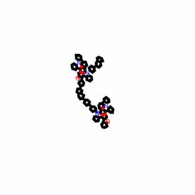 c1ccc(N(c2ccc(-c3ccc(-c4ccc5ccc(-c6ccc7c(c6)oc6cccc(-c8ccccc8N(c8ccc(-c9ccc%10ccccc%10c9)cc8)c8ccc(-c9ccccc9-n9c%10ccccc%10c%10ccccc%109)cc8)c67)cc5c4)cc3)cc2)c2ccc(-c3ccccc3-n3c4ccccc4c4ccccc43)cc2)c(-c2cccc3oc4ccccc4c23)c1